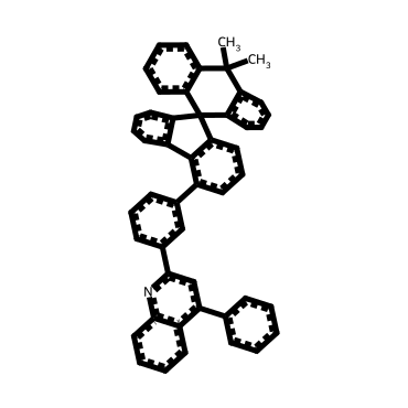 CC1(C)c2ccccc2C2(c3ccccc3-c3c(-c4cccc(-c5cc(-c6ccccc6)c6ccccc6n5)c4)cccc32)c2ccccc21